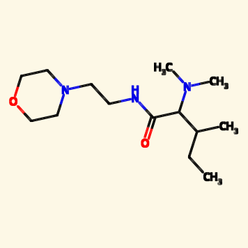 CCC(C)C(C(=O)NCCN1CCOCC1)N(C)C